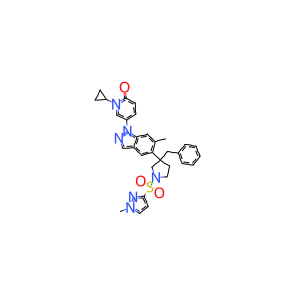 Cc1cc2c(cnn2-c2ccc(=O)n(C3CC3)c2)cc1C1(Cc2ccccc2)CCN(S(=O)(=O)c2ccn(C)n2)C1